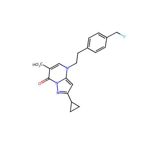 O=C(O)c1cn(CCc2ccc(CF)cc2)c2cc(C3CC3)nn2c1=O